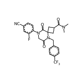 CN(C)C(=O)C1CC2(C1)C(=O)N(c1ccc(C#N)cc1F)CC(=O)N2Cc1ccc(C(F)(F)F)cc1